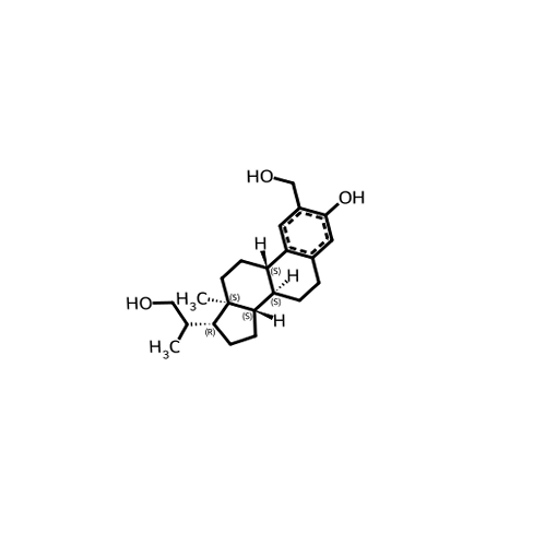 CC(CO)[C@H]1CC[C@H]2[C@@H]3CCc4cc(O)c(CO)cc4[C@H]3CC[C@]12C